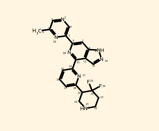 Cc1cncc(-c2cc3[nH]ncc3c(-c3cccc(C4CNCCC4(F)F)n3)n2)n1